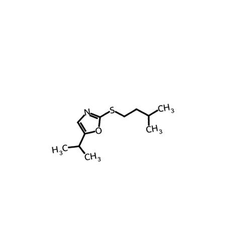 CC(C)CCSc1ncc(C(C)C)o1